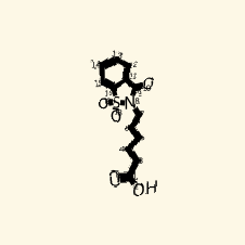 O=C(O)CCCCCN1C(=O)c2ccccc2S1(=O)=O